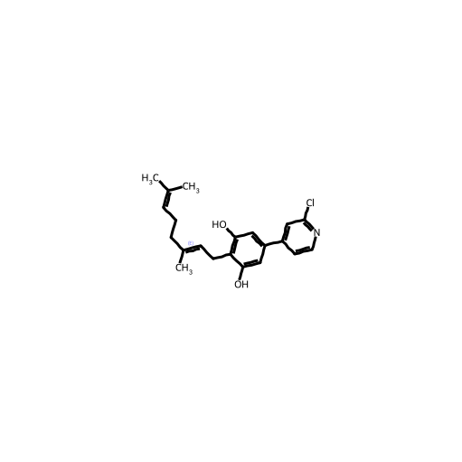 CC(C)=CCC/C(C)=C/Cc1c(O)cc(-c2ccnc(Cl)c2)cc1O